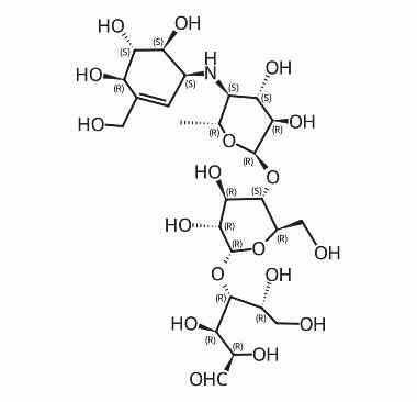 C[C@H]1O[C@H](O[C@H]2[C@H](O)[C@@H](O)[C@@H](O[C@@H]([C@H](O)[C@@H](O)C=O)[C@H](O)CO)O[C@@H]2CO)[C@H](O)[C@@H](O)[C@@H]1N[C@H]1C=C(CO)[C@@H](O)[C@H](O)[C@H]1O